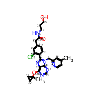 Cc1ccnc(Cn2c(-c3ccc(CC(=O)NCCCO)cc3Cl)nc3c(OC4(C)CC4)ncnc32)c1